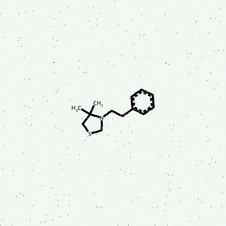 CC1(C)CSCN1CCc1ccccc1